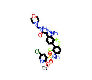 CCOc1ncc(Cl)cc1S(=O)(=O)Nc1ccc(F)c(-c2ccc3c(C(=O)NCN4CCOCC4)n[nH]c3c2F)c1F